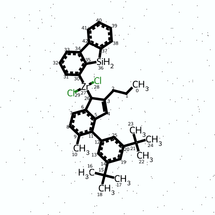 CCCC1=Cc2c(ccc(C)c2-c2cc(C(C)(C)C)cc(C(C)(C)C)c2)[CH]1[Zr]([Cl])([Cl])[c]1cccc2c1[SiH2]c1ccccc1-2